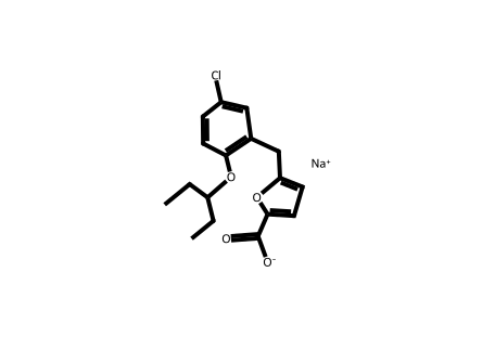 CCC(CC)Oc1ccc(Cl)cc1Cc1ccc(C(=O)[O-])o1.[Na+]